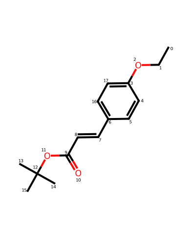 CCOc1ccc(/C=C/C(=O)OC(C)(C)C)cc1